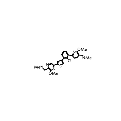 CNCc1ccc(-c2cccc(-c3csc(-c4cnc(CNC)c(OC)n4)c3)c2Cl)nc1OC